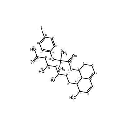 CC1C=CC2=CCCC(OC(=O)C(C)(C)Oc3ccc(F)cc3)C2C1CCC(O)CC(O)CC(=O)O